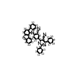 N#Cc1cc(-c2nc(-c3ccccc3)nc(-c3ccccc3)c2C#N)ccc1-n1c2ccccc2c2ccc3sc4ccccc4c3c21